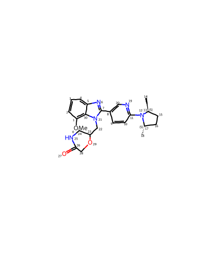 COc1cccc2nc(-c3ccc(N4[C@@H](C)CC[C@@H]4C)nc3)n(CC3CNC(=O)CO3)c12